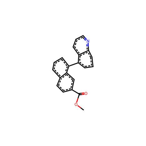 COC(=O)c1ccc2cccc(-c3cccc4ncccc34)c2c1